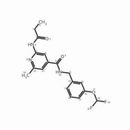 CCC(=O)Nc1cc(C(=O)NCc2cccc(OC(F)F)c2)cc(C)n1